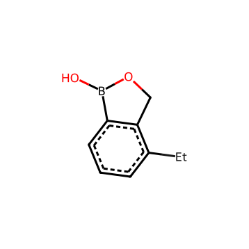 CCc1cccc2c1COB2O